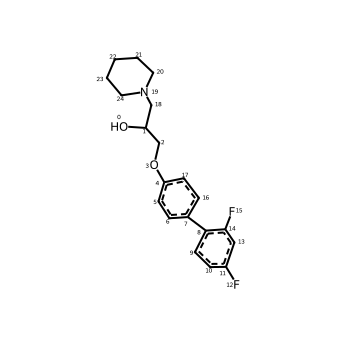 OC(COc1ccc(-c2ccc(F)cc2F)cc1)CN1CCCCC1